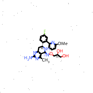 COc1cccc(-c2cc(F)ccc2[C@H]2Cc3nc(N)nc(C)c3/C(=N/OC[C@@H](O)CO)N2)n1